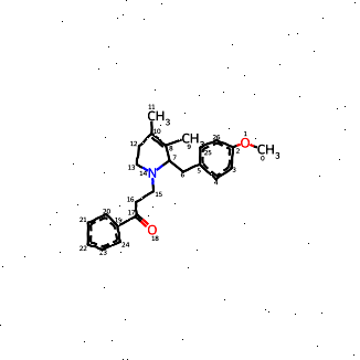 COc1ccc(CC2C(C)=C(C)CCN2CCC(=O)c2ccccc2)cc1